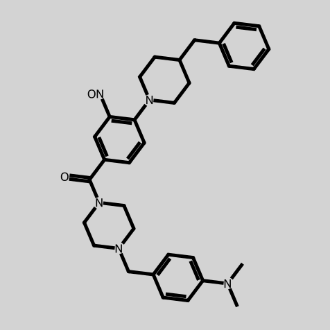 CN(C)c1ccc(CN2CCN(C(=O)c3ccc(N4CCC(Cc5ccccc5)CC4)c(N=O)c3)CC2)cc1